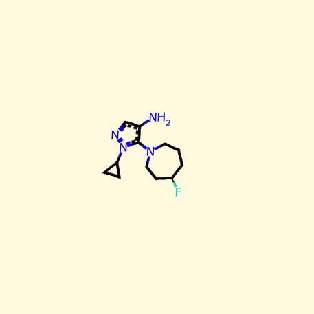 Nc1cnn(C2CC2)c1N1CCC[C@@H](F)CC1